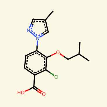 Cc1cnn(-c2ccc(C(=O)O)c(Cl)c2OCC(C)C)c1